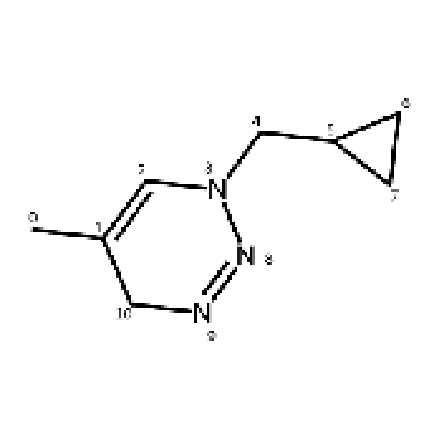 CC1=CN(CC2CC2)N=NC1